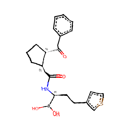 O=C(N[C@@H](CCc1ccsc1)B(O)O)[C@H]1CCC[C@@H]1C(=O)c1ccccc1